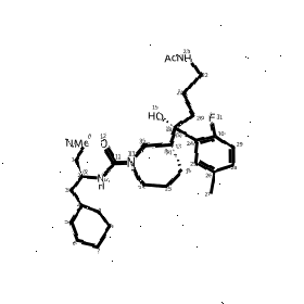 CNC[C@H](CC1CCCCC1)NC(=O)N1CCC[C@@H]([C@@](O)(CCCNC(C)=O)c2cc(C)ccc2F)C1